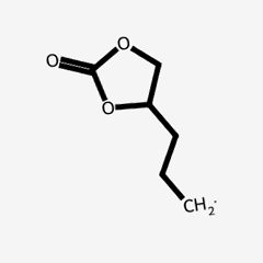 [CH2]CCC1COC(=O)O1